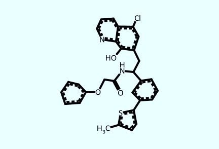 Cc1ccc(-c2cccc(C(Cc3cc(Cl)c4cccnc4c3O)NC(=O)COc3ccccc3)c2)s1